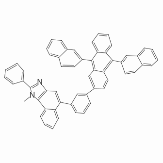 Cn1c(-c2ccccc2)nc2cc(-c3cccc(-c4ccc5c(-c6ccc7ccccc7c6)c6ccccc6c(-c6ccc7ccccc7c6)c5c4)c3)c3ccccc3c21